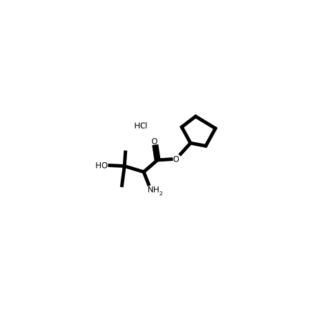 CC(C)(O)C(N)C(=O)OC1CCCC1.Cl